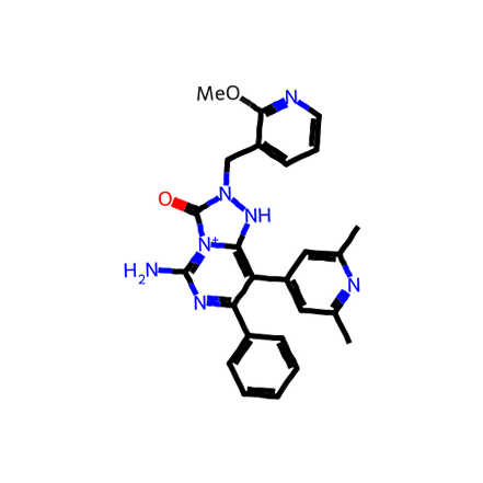 COc1ncccc1Cn1[nH]c2c(-c3cc(C)nc(C)c3)c(-c3ccccc3)nc(N)[n+]2c1=O